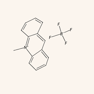 C[n+]1c2ccccc2cc2ccccc21.F[B-](F)(F)F